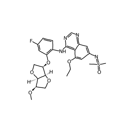 CCOc1cc(N=S(C)(C)=O)cc2ncnc(Nc3ccc(F)cc3O[C@@H]3CO[C@H]4[C@@H]3OC[C@H]4OC)c12